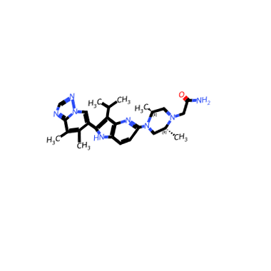 Cc1c(-c2[nH]c3ccc(N4C[C@@H](C)N(CC(N)=O)C[C@H]4C)nc3c2C(C)C)cn2ncnc2c1C